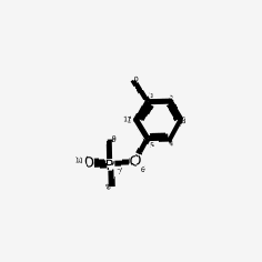 Cc1cccc(OP(C)(C)=O)c1